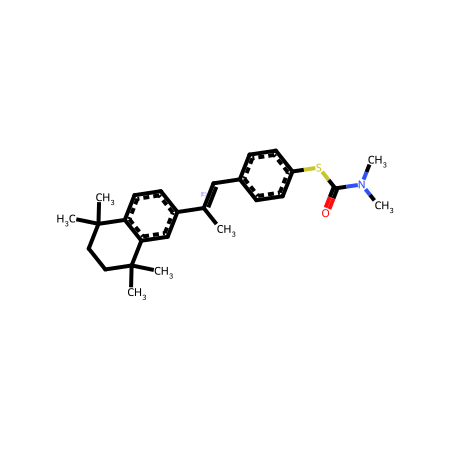 C/C(=C\c1ccc(SC(=O)N(C)C)cc1)c1ccc2c(c1)C(C)(C)CCC2(C)C